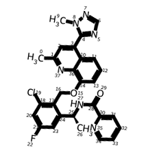 Cc1cc(-c2ncnn2C)c2cccc(OCc3c(Cl)cc(F)cc3[C@H](C)NC(=O)c3ccccn3)c2n1